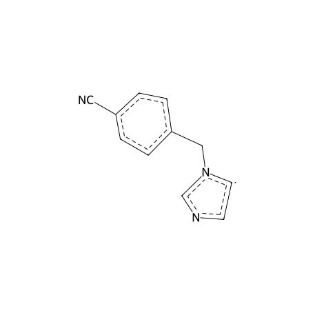 N#Cc1ccc(Cn2[c]cnc2)cc1